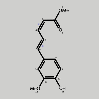 COC(=O)/C=C\C=C\c1ccc(O)c(OC)c1